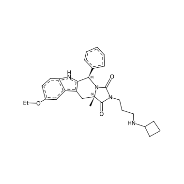 CCOc1ccc2[nH]c3c(c2c1)C[C@@]1(C)C(=O)N(CCCNC2CCC2)C(=O)N1[C@@H]3c1ccccc1